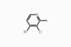 Clc1c(Br)ccnc1I